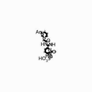 CC(=O)N1CCCN(CC(=O)NC(=N)[C@@H]2CC[C@@H]3CN2C(=O)N3OS(=O)(=O)O)C1